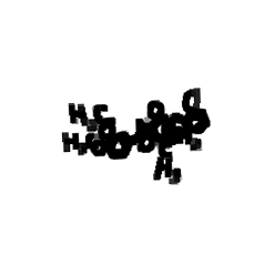 CCOc1cc(-c2nc(C(=O)NCc3c(F)cccc3Cl)c([C@H](C)N)o2)ccc1OC